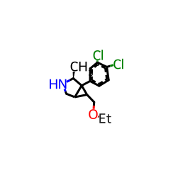 CCOCC1C2CN[C@@H](C)C21c1ccc(Cl)c(Cl)c1